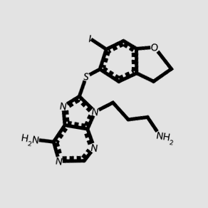 NCCCn1c(Sc2cc3c(cc2I)OCC3)nc2c(N)ncnc21